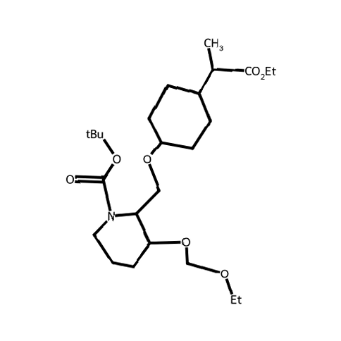 CCOCOC1CCCN(C(=O)OC(C)(C)C)C1COC1CCC(C(C)C(=O)OCC)CC1